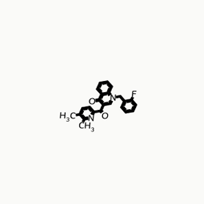 Cc1ccc(C(=O)c2cn(Cc3ccccc3F)c3ccccc3c2=O)nc1C